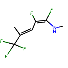 CN/C(F)=C(F)\C=C(/C)C(F)(F)F